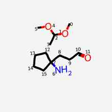 COC(C)OC.NC1(CCC=O)CCCC1